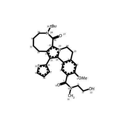 COc1cc2c(cc1C(=O)N(C)CCO)-c1c(-c3cccs3)c3c(n1CC2)C(=O)N(C(C)(C)C)CCCC3